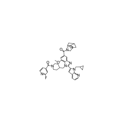 COc1cc(C(=O)N2CC3CC4CC2[C@H]43)cc2nc(-c3cc4cccnc4n3CC3CC3)n(CC3CCN(C(=O)c4ccnc(F)c4)CC3)c12